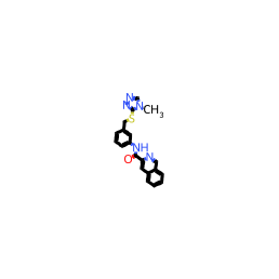 Cn1cnnc1SCc1cccc(NC(=O)c2cc3ccccc3cn2)c1